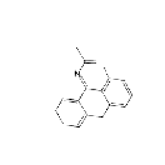 C=C(C)/N=C1/C2=CCCC=C2Cc2cccc(C)c21